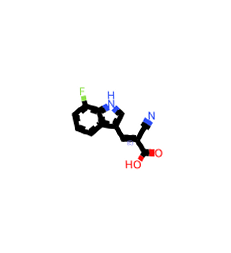 N#C/C(=C\c1c[nH]c2c(F)cccc12)C(=O)O